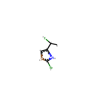 CC(F)c1csc(Br)n1